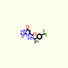 CC(C)C(NC(=O)c1cc(=O)[nH]c(N(C)C)n1)c1ccc(C(F)F)cc1